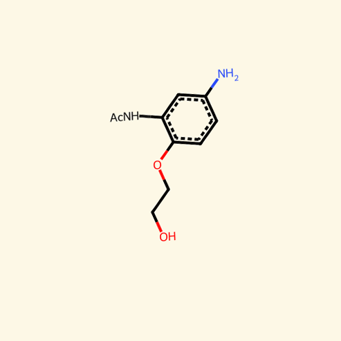 CC(=O)Nc1cc(N)ccc1OCCO